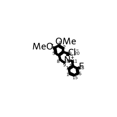 COc1cc2c(cc1OC)CC[N+](Cc1ccccc1F)=C2.[Cl-]